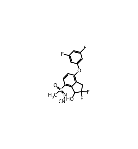 CS(=O)(=NC#N)c1ccc(Oc2cc(F)cc(F)c2)c2c1C(O)C(F)(F)C2